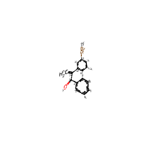 C=C(C(=O)c1ccccc1)c1cccc(Br)c1